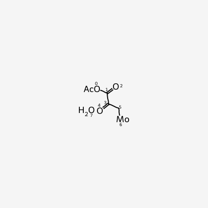 CC(=O)OC(=O)C(=O)[CH2][Mo].O